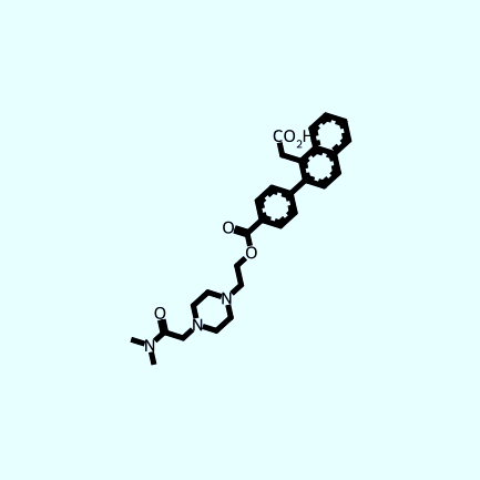 CN(C)C(=O)CN1CCN(CCOC(=O)c2ccc(-c3ccc4ccccc4c3CC(=O)O)cc2)CC1